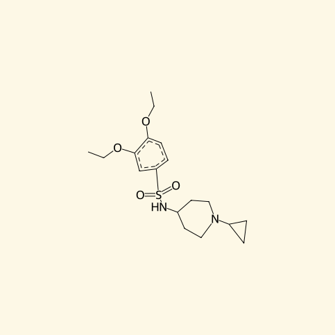 CCOc1ccc(S(=O)(=O)NC2CCN(C3CC3)CC2)cc1OCC